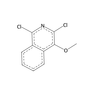 COc1c(Cl)nc(Cl)c2ccccc12